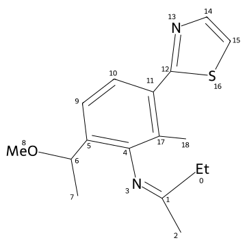 CC/C(C)=N\c1c(C(C)OC)ccc(-c2nccs2)c1C